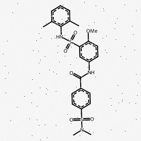 COc1ccc(NC(=O)c2ccc(S(=O)(=O)N(C)C)cc2)cc1S(=O)(=O)Nc1c(C)cccc1C